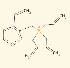 C=CC[PH](CC=C)(CC=C)Cc1ccccc1C=C